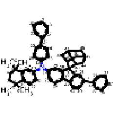 CC1(C)CCC(C)(C)c2cc(N(c3ccc(-c4ccccc4)cc3)c3ccc4c(c3)C3(c5cc(-c6ccccc6)ccc5-4)C4CC5CC6CC3C64C5)ccc21